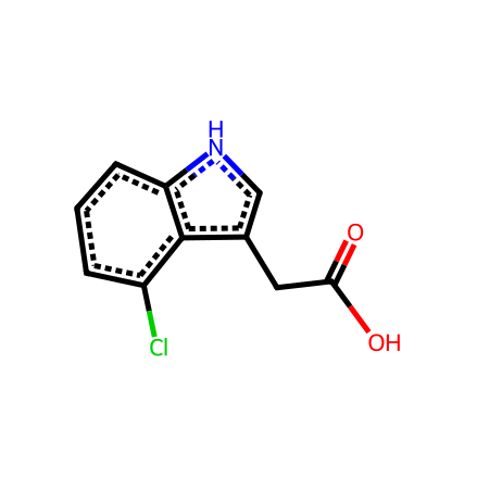 O=C(O)Cc1c[nH]c2cccc(Cl)c12